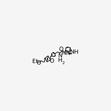 CCOCCN1CCN(c2ccc(C[C@H](N)C(=O)Nc3cccc4[nH]ccc34)cc2)C(=O)C1